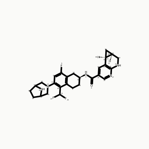 O=C(N[C@H]1CCc2c(c(F)cc(N3CC4CCC(C3)N4)c2C(F)F)C1)c1cnc2c(c1)[C@H]1C[C@H]1CN2